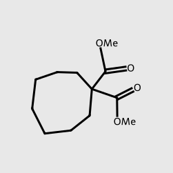 COC(=O)C1(C(=O)OC)CCCCCCC1